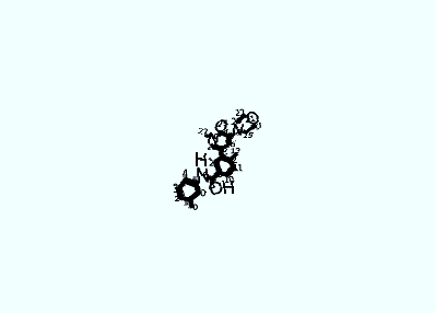 Cc1cccc(NC(O)c2ccc(C)c(-c3cc(N4CCOCC4)c(=O)n(C)c3)c2)c1